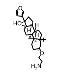 C[C@]12CC[C@H](OCCN)C[C@H]1CC[C@@H]1[C@@H]2CC[C@@]2(C)[C@H]1CC[C@@]2(O)c1ccoc1